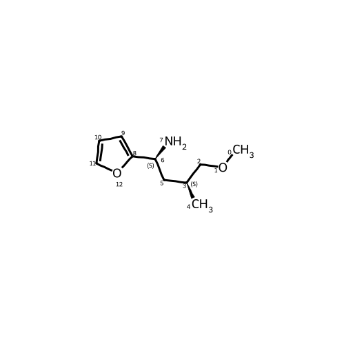 COC[C@@H](C)C[C@H](N)c1ccco1